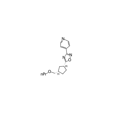 CCCOC[C@H]1CC[C@@H](c2nc(-c3ccncc3)no2)C1